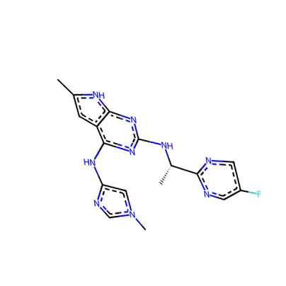 Cc1cc2c(Nc3cn(C)cn3)nc(N[C@@H](C)c3ncc(F)cn3)nc2[nH]1